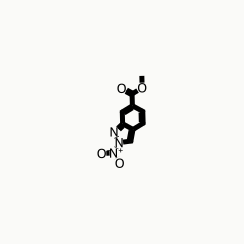 COC(=O)c1ccc2cn([N+](=O)[O-])nc2c1